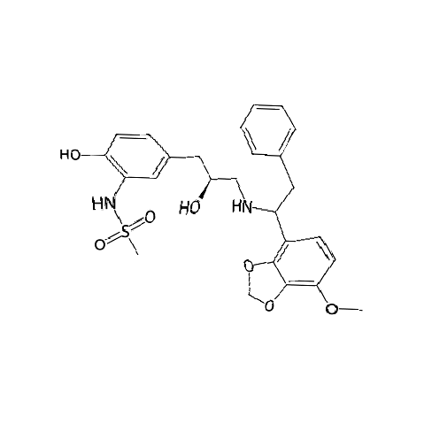 COc1ccc(C(Cc2ccccc2)NC[C@@H](O)Cc2ccc(O)c(NS(C)(=O)=O)c2)c2c1OCO2